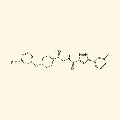 Cc1cccc(-n2cc(C(=O)NCC(=O)N3CCC(Oc4cccc(C(F)(F)F)c4)CC3)nn2)c1